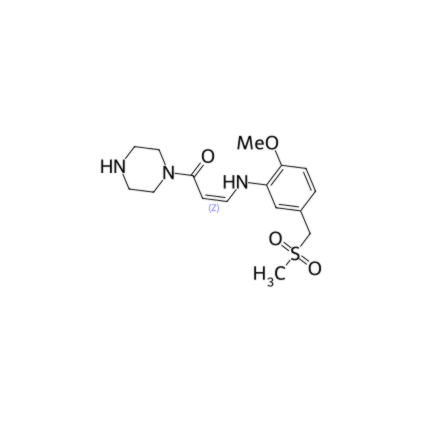 COc1ccc(CS(C)(=O)=O)cc1N/C=C\C(=O)N1CCNCC1